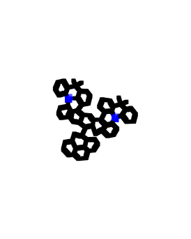 CC1(C)c2ccccc2N(c2ccccc2)c2c(-c3cccc4c(-c5cc6cccc7ccc8cccc5c8c76)c5cccc(-c6cccc7c6N(c6ccccc6)c6ccccc6C7(C)C)c5cc34)cccc21